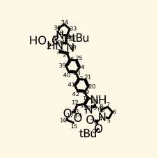 CC(C)(C)OC(=O)N1CCC[C@H]1c1nc(CC2OCCO2)c(-c2ccc(-c3ccc(-c4c[nH]c([C@@]5(C(C)(C)C)CCCN5C(=O)O)n4)cc3)cc2)[nH]1